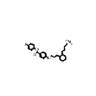 CCCCCC1CCCCC1CCCOc1ccc(C(=O)Oc2ccc(I)cc2)cc1